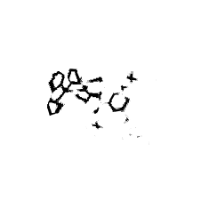 CC(C)(C)OC(=O)N1C[C@@H](COS(C)(=O)=O)C[C@@H](N(C(=O)OC(C)(C)C)c2ncnc3c2ccn3C(c2ccccc2)(c2ccccc2)c2ccccc2)C1